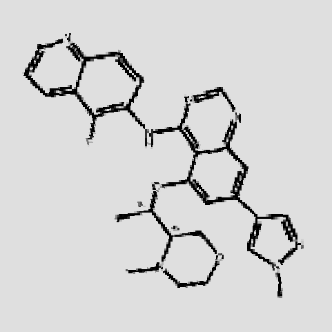 C[C@@H](Oc1cc(-c2cnn(C)c2)cc2ncnc(Nc3ccc4ncccc4c3F)c12)[C@H]1COCCN1C